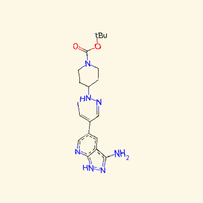 CC(C)(C)OC(=O)N1CCC(N/N=C\C(=C/I)c2cnc3[nH]nc(N)c3c2)CC1